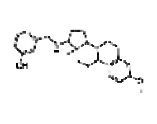 COc1ccc2c(c1)CCC1C2CCC2(C)C(NCc3cccc(O)c3)CCC12